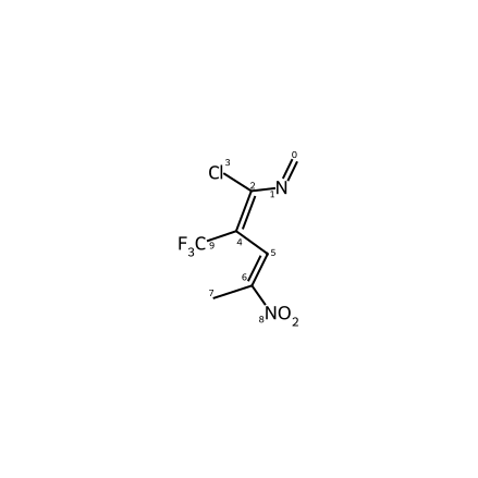 C=N/C(Cl)=C(\C=C(/C)[N+](=O)[O-])C(F)(F)F